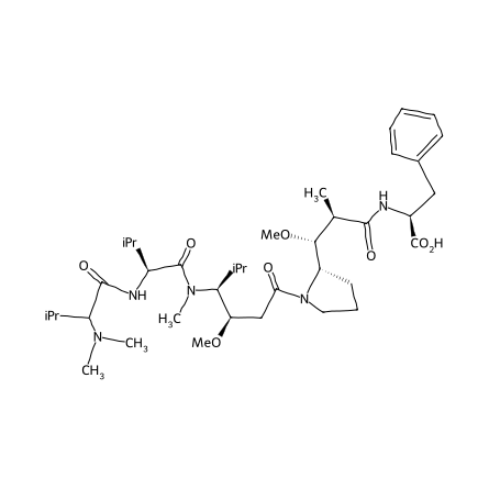 CO[C@H]([C@@H](C)C(=O)N[C@@H](Cc1ccccc1)C(=O)O)[C@@H]1CCCN1C(=O)C[C@@H](OC)[C@H](C(C)C)N(C)C(=O)[C@@H](NC(=O)C(C(C)C)N(C)C)C(C)C